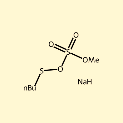 CCCCSOS(=O)(=O)OC.[NaH]